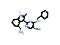 COc1cnc(-c2c(C)[nH]c3cccc(CN)c23)nc1NCc1ccccc1